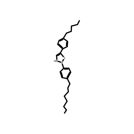 CCCCCCCCc1ccc(N2NC=C(c3ccc(CCCCC)cc3)S2)cc1